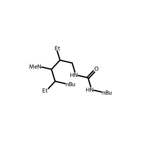 CCCCNC(=O)NCC(CC)C(NC)C(CC)CCCC